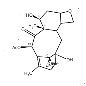 CO[C@@]1(C)C2=C(C)CCC1(O)CC1C3COC3C[C@H](O)[C@@]1(C)C(=O)[C@@H]2OC(C)=O